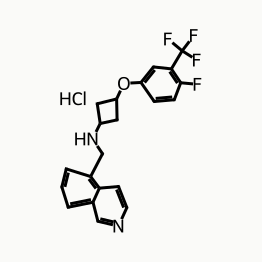 Cl.Fc1ccc(OC2CC(NCc3cccc4cnccc34)C2)cc1C(F)(F)F